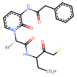 CC[C@@H](C(=O)NC(CC(=O)O)C(=O)CF)n1cccc(NC(=O)Cc2ccccc2)c1=O